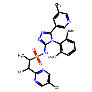 COc1cccc(OC)c1-n1c(NS(=O)(=O)C(C)C(C)c2ncc(C#N)cn2)nnc1-c1cncc(C)c1